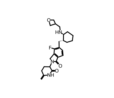 C=C1CCC(N2Cc3c(ccc(C[C@H]4CCCC[C@@H]4NCC4COC4)c3F)C2=O)C(=O)N1